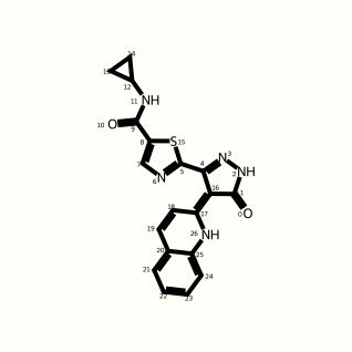 O=C1NN=C(c2ncc(C(=O)NC3CC3)s2)C1=C1C=Cc2ccccc2N1